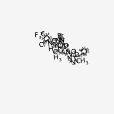 Cc1ncnc(C(=O)N2CCC3(CC2)C[C@@H](C)c2c3c(=O)n3nc(Br)nc3n2CC(=O)Nc2ccc(C(F)(F)F)cc2Cl)c1OCc1ccccc1